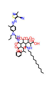 CCCCCCCCCCCCNC(=O)C(C(C(=O)O)C(C)C(=O)O)C(C(=O)O)C(C(=O)NCCN(CCC)c1ccc(/N=N/c2snc(C)c2C#N)c(C)c1)C(CC(C)c1ccccc1)C(=O)O